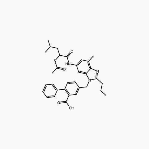 CCCc1nc2c(C)cc(NC(=O)C(CC(C)C)SC(C)=O)cc2n1Cc1ccc(-c2ccccc2)c(C(=O)O)c1